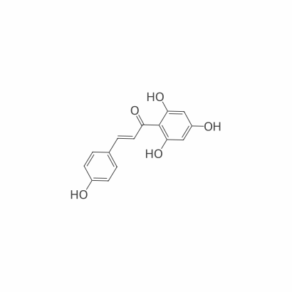 O=C(/C=C/c1ccc(O)cc1)c1c(O)cc(O)cc1O